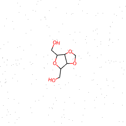 OCC1OC(CO)C2OCOC12